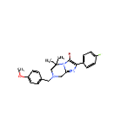 COc1ccc(CN2Cc3nc(-c4ccc(F)cc4)c(Br)n3C(C)(C)C2)cc1